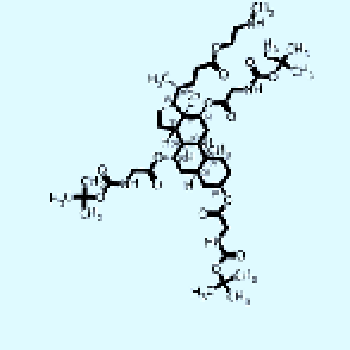 CNCCOC(=O)CC[C@@H](C)[C@H]1CC[C@H]2[C@@H]3[C@H](OC(=O)CNC(=O)OC(C)(C)C)C[C@@H]4C[C@H](OC(=O)CNC(=O)OC(C)(C)C)CC[C@]4(C)[C@H]3C[C@H](OC(=O)CNC(=O)OC(C)(C)C)[C@]12C